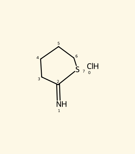 Cl.N=C1CCCCS1